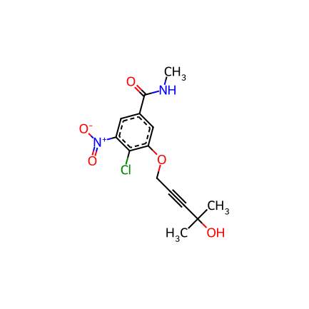 CNC(=O)c1cc(OCC#CC(C)(C)O)c(Cl)c([N+](=O)[O-])c1